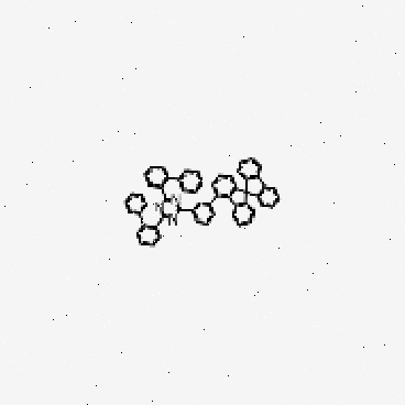 c1ccc(-c2ccccc2-c2nc(-c3cccc(-c4cccc5c4-c4ccccc4C54c5ccccc5-c5ccccc54)c3)nc(-c3ccccc3-c3ccccc3)n2)cc1